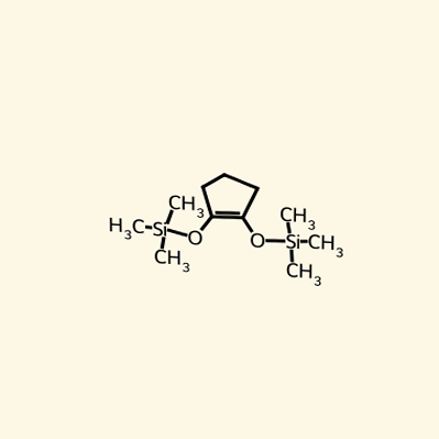 C[Si](C)(C)OC1=C(O[Si](C)(C)C)CCC1